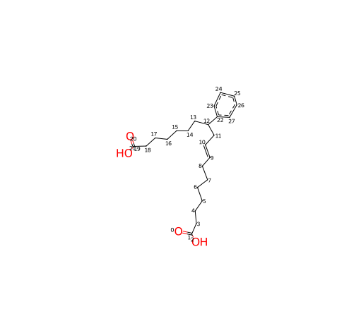 O=C(O)CCCCCC/C=C/CC(CCCCCCC(=O)O)c1ccccc1